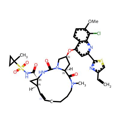 C=Cc1csc(-c2cc(O[C@H]3C[C@H]4C(=O)N(C)CCCC/C=C\[C@H]5C[C@@]5(C(=O)NS(=O)(=O)C5(C)CC5)NC(=O)N4C3)c3ccc(OC)c(Cl)c3n2)n1